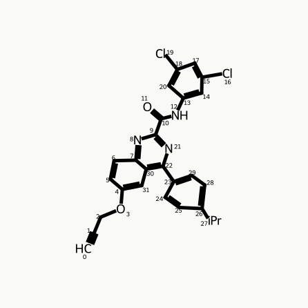 C#CCOc1ccc2nc(C(=O)Nc3cc(Cl)cc(Cl)c3)nc(-c3ccc(C(C)C)cc3)c2c1